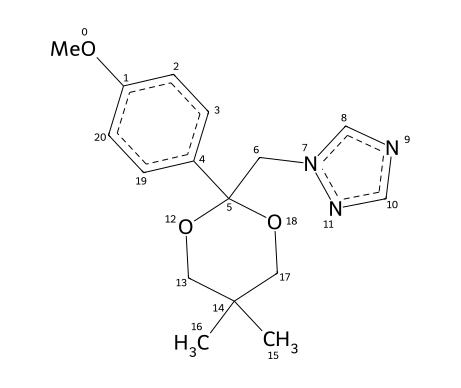 COc1ccc(C2(Cn3cncn3)OCC(C)(C)CO2)cc1